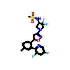 Cc1ccc(C2CC(N3C[C@@H](NS(C)(=O)=O)C(F)(F)C3)=NO2)c(-c2ncc(F)cc2F)c1